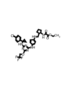 CCOC(=O)C(=O)NC1CCCC1CNc1ccc(Nc2nc(NC3(c4ccc(Cl)cc4)CC3)nc(OCC(F)(F)F)n2)cc1